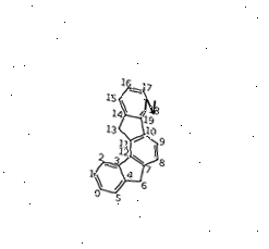 c1ccc2c(c1)Cc1ccc3c(c1-2)Cc1cccnc1-3